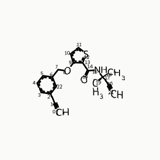 C#Cc1cccc(COc2ccsc2C(=O)NC(C)(C)C#C)c1